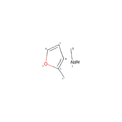 CNC.Cc1ccco1